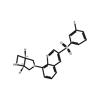 O=S(=O)(c1cccc(F)c1)c1cnc2c(N3C[C@H]4CN[C@H]4C3)cccc2c1